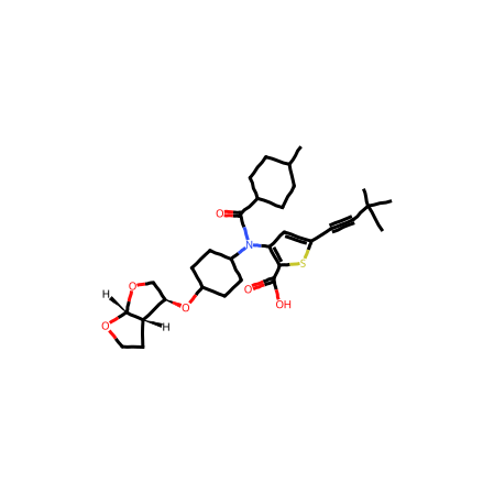 CC1CCC(C(=O)N(c2cc(C#CC(C)(C)C)sc2C(=O)O)C2CCC(O[C@@H]3CO[C@H]4OCC[C@H]43)CC2)CC1